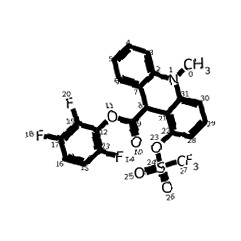 CN1c2ccccc2C(C(=O)Oc2c(F)ccc(F)c2F)c2c(OS(=O)(=O)C(F)(F)F)cccc21